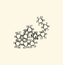 c1ccc(-c2cccc(-c3cccc(-c4nc(-c5ccccc5)nc(-c5cccc6sc7cc(C8(c9ccccc9)c9ccccc9-c9ccccc98)ccc7c56)n4)c3)c2)cc1